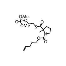 C=CCCCOC(=O)N1CCCC1(C)C(=O)SCCOP(=O)(OC)OC